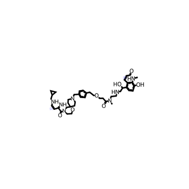 CNc1c(O)ccc(C(O)CNCCN(C)C(=O)CCOCCc2ccc(CN3CCC4(CC3)CN(C(=O)C(=N)/C=C\NCC3CC3)CCO4)cc2)c1/C=C\C=O